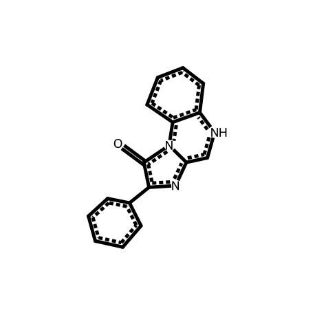 O=c1c(-c2ccccc2)nc2c[nH]c3ccccc3n1-2